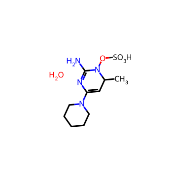 CC1C=C(N2CCCCC2)N=C(N)N1OS(=O)(=O)O.O